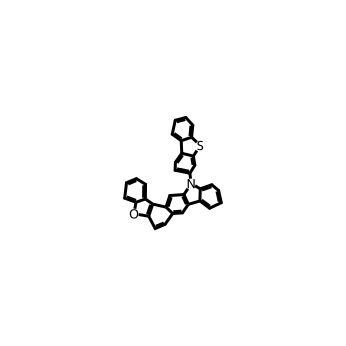 c1ccc2c(c1)oc1ccc3cc4c5ccccc5n(-c5ccc6c(c5)sc5ccccc56)c4cc3c12